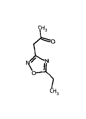 CCc1nc(CC(C)=O)no1